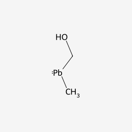 [CH3][Pb][CH2]O